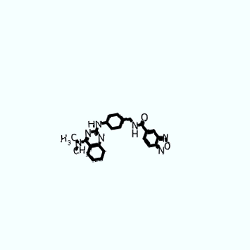 CN(C)c1nc(NC2CCC(CNC(=O)c3ccc4nonc4c3)CC2)nc2c1CCCC2